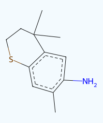 Cc1cc2c(cc1N)C(C)(C)CCS2